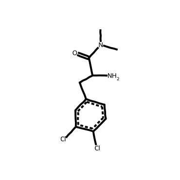 CN(C)C(=O)C(N)Cc1ccc(Cl)c(Cl)c1